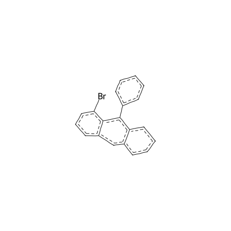 Brc1cccc2cc3ccccc3c(-c3ccccc3)c12